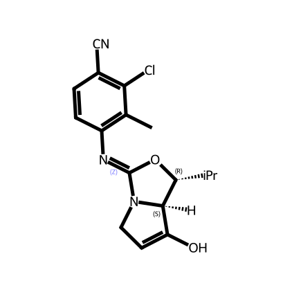 Cc1c(/N=C2\O[C@H](C(C)C)[C@H]3C(O)=CCN23)ccc(C#N)c1Cl